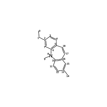 CCc1ccc2c(c1)N(C)c1ccc(C)cc1C=C2